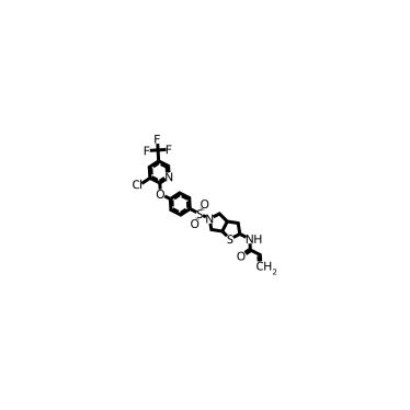 C=CC(=O)NC1CC2CN(S(=O)(=O)c3ccc(Oc4ncc(C(F)(F)F)cc4Cl)cc3)CC2S1